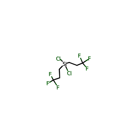 FC(F)(F)CC[Si](Cl)(Cl)CCC(F)(F)F